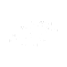 COC(=O)C1(OC)C[C@H](O[Si](C)(C)C(C)(C)C)[C@@H](C)[C@H]([C@H](O)[C@H]2COC(C)(C)O2)O1